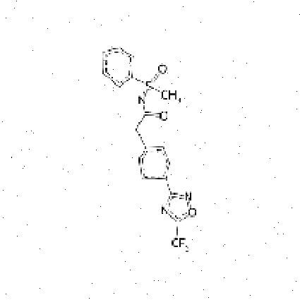 CS(=O)(=NC(=O)Cc1ccc(-c2noc(C(F)(F)F)n2)cc1)c1ccccc1